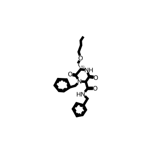 CCCCOC[C@@H]1NC(=O)C(C(=O)NCc2ccccc2)N(Cc2ccccc2)C1=O